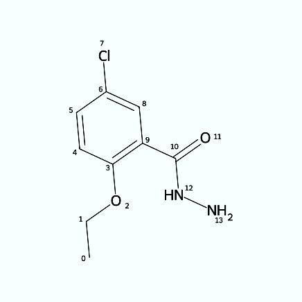 CCOc1ccc(Cl)cc1C(=O)NN